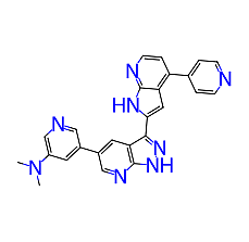 CN(C)c1cncc(-c2cnc3[nH]nc(-c4cc5c(-c6ccncc6)ccnc5[nH]4)c3c2)c1